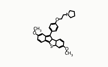 COC1=CC2SC3=c4ccc(OC)cc4=C(c4ccc(OCCN5CCCC5)cc4)C3C2C=C1